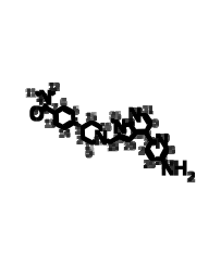 C[C@@H]1C[C@@H](c2ccc(C(=O)N(C)C)cc2)CCN1Cc1cc2c(-c3ccc(N)cn3)ccnc2n1C